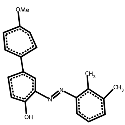 COc1ccc(-c2ccc(O)c(N=Nc3cccc(C)c3C)c2)cc1